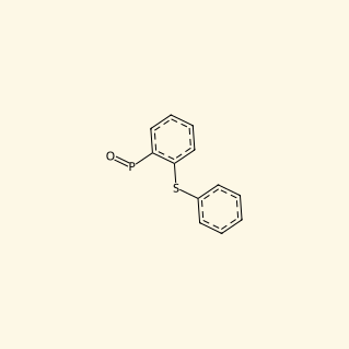 O=Pc1ccccc1Sc1ccccc1